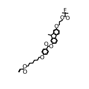 C=CC(=O)OCCCCCCOc1ccc(C(=O)Oc2ccc3c(c2)C(C)c2cc(OCCCOC(=O)C(C)(C)F)ccc2-3)cc1